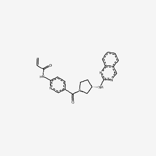 C=CC(=O)Nc1ccc(C(=O)N2CC[C@H](Nc3ncc4ccccc4n3)C2)cn1